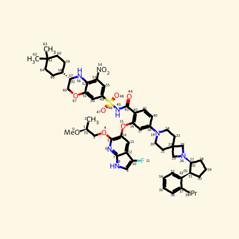 CO[C@@H](C)COc1nc2[nH]cc(F)c2cc1Oc1cc(N2CCC3(CC2)CN([C@H]2CCC[C@H]2c2ccccc2C(C)C)C3)ccc1C(=O)NS(=O)(=O)c1cc2c(c([N+](=O)[O-])c1)N[C@@H](C1CCC(C)(C)CC1)CO2